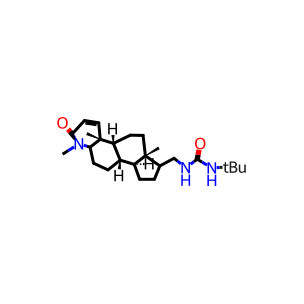 CN1C(=O)C=C[C@@]2(C)C1CC[C@@H]1[C@H]2CC[C@]2(C)C(CNC(=O)NC(C)(C)C)CC[C@@H]12